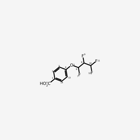 O=C(O)c1ccc(OC(F)C(F)C(F)F)cc1